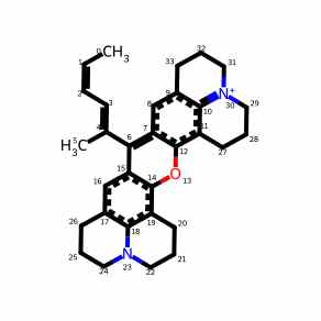 C/C=C\C=C(/C)C1=c2cc3c4c(c2Oc2c1cc1c5c2CCCN5CCC1)CCC[N+]=4CCC3